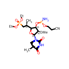 CCOP(=O)(C[C@@H](C)C1O[C@H](n2cc(C)c(=O)[nH]c2=O)[C@H](OC)[C@@H]1OP(N)OCCC#N)OCC